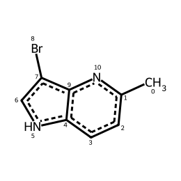 Cc1ccc2[nH]cc(Br)c2n1